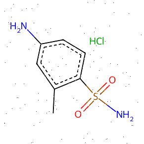 Cc1cc(N)ccc1S(N)(=O)=O.Cl